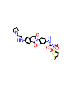 Cc1ccc(S(=O)(=O)NC(=O)Nc2ccc(N3C(=O)Cc4cc(NCCN5CCCC5)ccc4C3=O)c(F)c2)s1